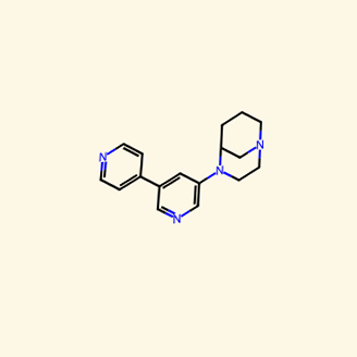 c1cc(-c2cncc(N3CCN4CCCC3C4)c2)ccn1